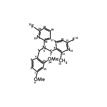 COc1ccc(CN(Sc2ccc(F)nc2C)c2cccc(F)n2)c(OC)c1